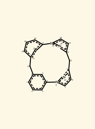 c1cc2cc(c1)-n1ccc(n1)Cc1ccn(n1)-c1cccc(c1)C2